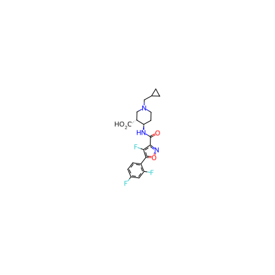 O=C(N[C@@H]1CCN(CC2CC2)C[C@H]1C(=O)O)c1noc(-c2ccc(F)cc2F)c1F